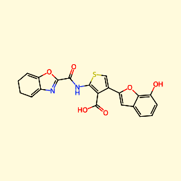 O=C(Nc1scc(-c2cc3cccc(O)c3o2)c1C(=O)O)c1nc2c(o1)=CCCC=2